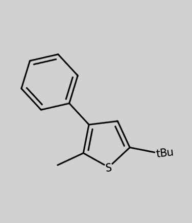 Cc1sc(C(C)(C)C)cc1-c1ccccc1